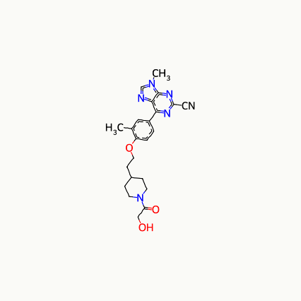 Cc1cc(-c2nc(C#N)nc3c2ncn3C)ccc1OCCC1CCN(C(=O)CO)CC1